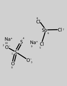 O=S([O-])([O-])=S.[Cl][Sb]([Cl])[Cl].[Na+].[Na+]